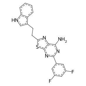 Nc1nc(-c2cc(F)cc(F)c2)nc2sc(CCc3c[nH]c4ccccc34)nc12